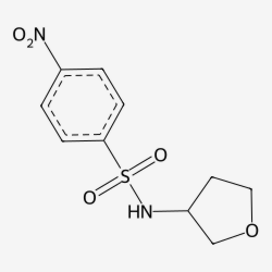 O=[N+]([O-])c1ccc(S(=O)(=O)NC2CCOC2)cc1